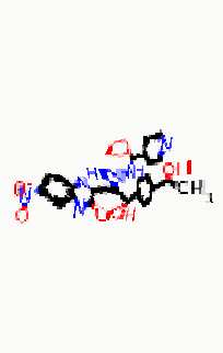 CC(O)c1ccc(C(O)C(NNC(=O)c2ccncc2)=C2N=c3ccc([N+](=O)[O-])cc3=NC2=O)cc1